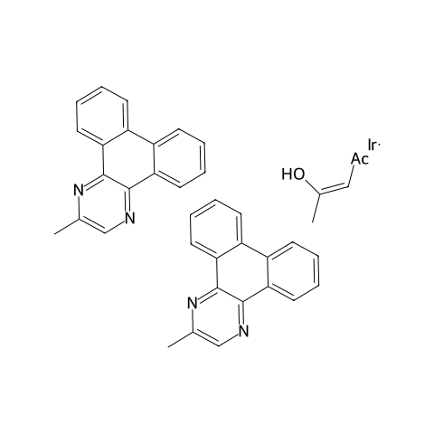 CC(=O)C=C(C)O.Cc1cnc2c3ccccc3c3ccccc3c2n1.Cc1cnc2c3ccccc3c3ccccc3c2n1.[Ir]